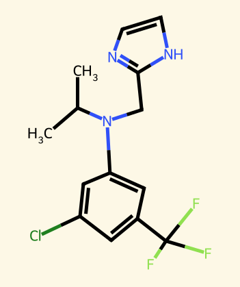 CC(C)N(Cc1ncc[nH]1)c1cc(Cl)cc(C(F)(F)F)c1